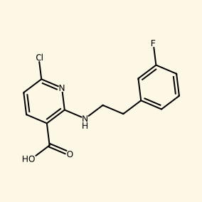 O=C(O)c1ccc(Cl)nc1NCCc1cccc(F)c1